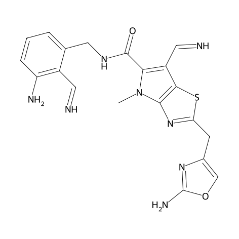 Cn1c(C(=O)NCc2cccc(N)c2C=N)c(C=N)c2sc(Cc3coc(N)n3)nc21